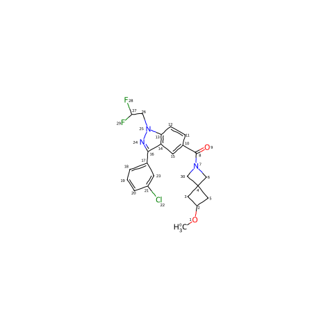 COC1CC2(C1)CN(C(=O)c1ccc3c(c1)c(-c1cccc(Cl)c1)nn3CC(F)F)C2